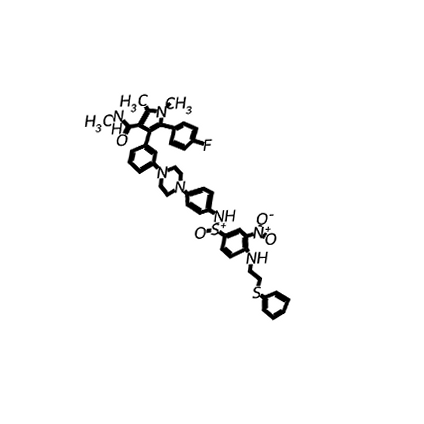 CNC(=O)c1c(-c2cccc(N3CCN(c4ccc(N[S+]([O-])c5ccc(NCCSc6ccccc6)c([N+](=O)[O-])c5)cc4)CC3)c2)c(-c2ccc(F)cc2)n(C)c1C